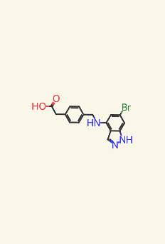 O=C(O)Cc1ccc(CNc2cc(Br)cc3[nH]ncc23)cc1